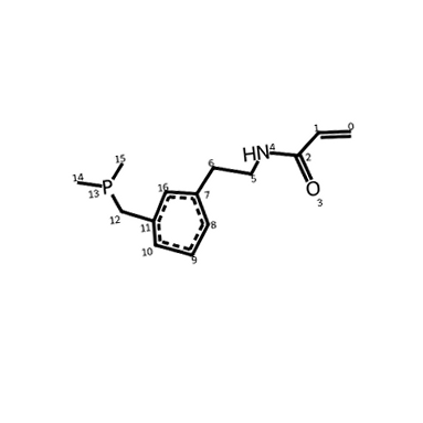 C=CC(=O)NCCc1cccc(CP(C)C)c1